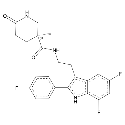 C[C@]1(C(=O)NCCc2c(-c3ccc(F)cc3)[nH]c3c(F)cc(F)cc23)CCC(=O)NC1